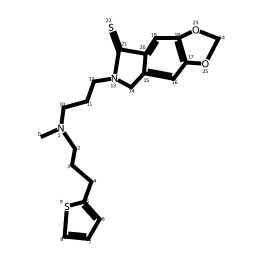 CN(CCCc1cccs1)CCCN1Cc2cc3c(cc2C1=S)OCO3